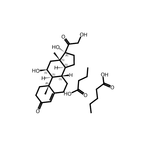 CCCC(=O)O.CCCCC(=O)O.C[C@]12CCC(=O)C=C1CC[C@@H]1[C@@H]2[C@@H](O)C[C@@]2(C)[C@H]1CC[C@]2(O)C(=O)CO